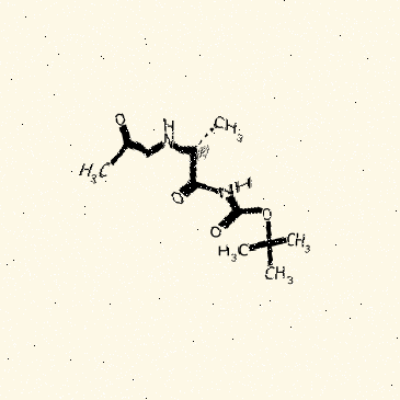 CC(=O)CN[C@H](C)C(=O)NC(=O)OC(C)(C)C